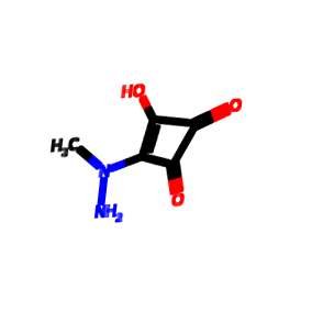 CN(N)c1c(O)c(=O)c1=O